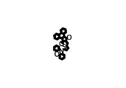 O=C1C(=Cc2ccc(N3c4ccccc4Oc4ccccc43)s2)C(=O)c2c1c1ccccc1c1ccccc21